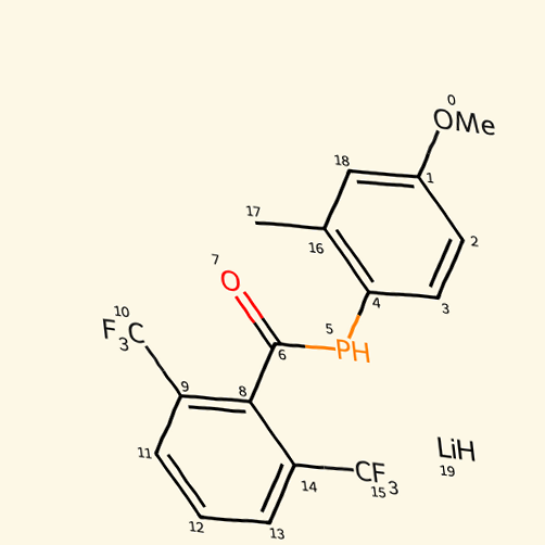 COc1ccc(PC(=O)c2c(C(F)(F)F)cccc2C(F)(F)F)c(C)c1.[LiH]